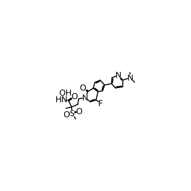 CN(C)c1ccc(-c2ccc3c(=O)n(CCC(C)(C(=O)NO)S(C)(=O)=O)cc(F)c3c2)cn1